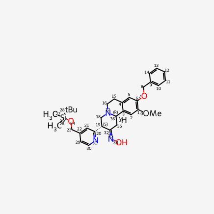 COc1cc2c(cc1OCc1ccccc1)CCN1C[C@@H](c3cc(CO[Si](C)(C)C(C)(C)C)ccn3)C(=NO)C[C@H]21